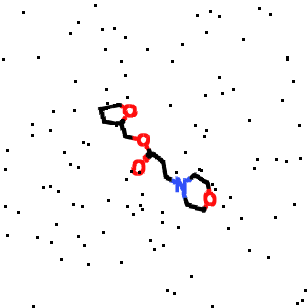 O=C(CCN1CCOCC1)OCC1CCCO1